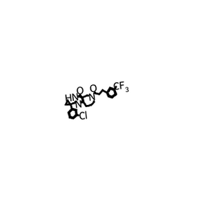 O=C(CCc1cccc(C(F)(F)F)c1)N1CCCc2nc(C3(c4cccc(Cl)c4)CC3)[nH]c(=O)c2C1